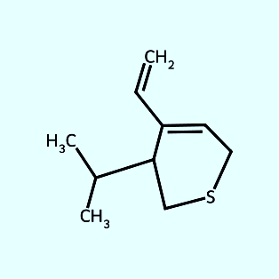 C=CC1=CCSCC1C(C)C